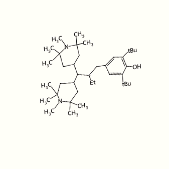 CC[C](Cc1cc(C(C)(C)C)c(O)c(C(C)(C)C)c1)C(C1CC(C)(C)N(C)C(C)(C)C1)C1CC(C)(C)N(C)C(C)(C)C1